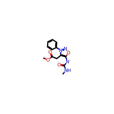 CNC(=O)[N-]c1on[n+](-c2ccccc2)c1CC(=O)OC